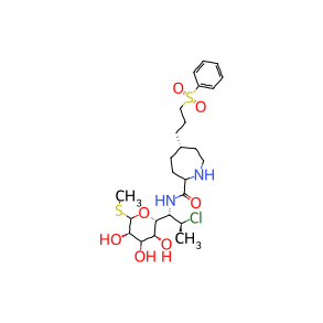 CSC1O[C@H]([C@H](NC(=O)C2CC[C@H](CCCS(=O)(=O)c3ccccc3)CCN2)[C@H](C)Cl)[C@@H](O)C(O)[C@H]1O